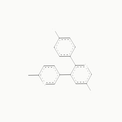 Cc1ccc(-c2cc(Cl)cnc2-c2ccc(O)cc2)cn1